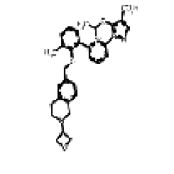 Cc1cccc(-c2cccc3[n+]2C(C)Oc2c(C(=O)O)cnn2-3)c1OCc1ccc2c(c1)CCN(C1COC1)C2